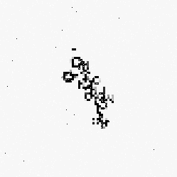 CN(C)C(=O)/C=C/CC[C@H](OC(=O)N(C)C)C(=O)Nc1cncn(Cc2nc3cc(F)ccc3n2Cc2ccccc2)c1=O